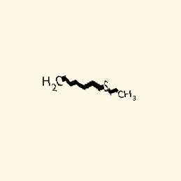 C=CCCCCCS[CH]CC